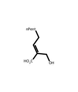 CCCCCCC=C(CO)C(=O)O